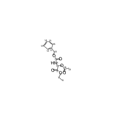 CCOC(=O)C(NC(=O)OCc1ccccc1)OC(C)=O